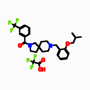 CC(C)COc1ccccc1CN1CCC2(CC1)CCN(C(=O)c1cccc(C(F)(F)F)c1)C2.O=C(O)C(F)(F)F